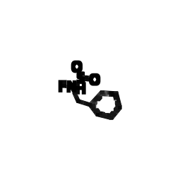 O=[SH](=O)N(F)Cc1ccccc1